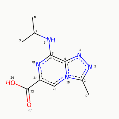 Cc1nnc2c(NC(C)C)nc(C(=O)O)cn12